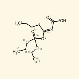 CCCC/C(=C\C(=O)O)OP(=O)(OCC)OCC